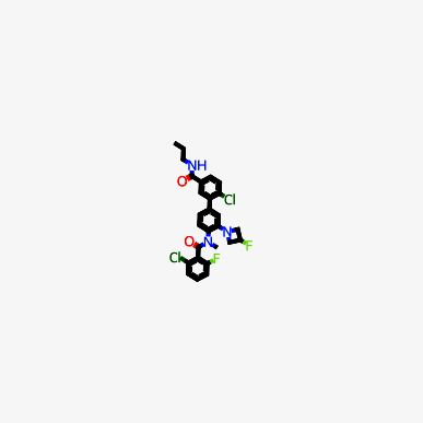 CCCNC(=O)c1ccc(Cl)c(-c2ccc(N(C)C(=O)c3c(F)cccc3Cl)c(N3CC(F)C3)c2)c1